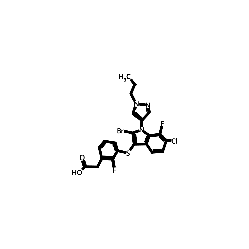 CCCn1cc(-n2c(Br)c(Sc3cccc(CC(=O)O)c3F)c3ccc(Cl)c(F)c32)cn1